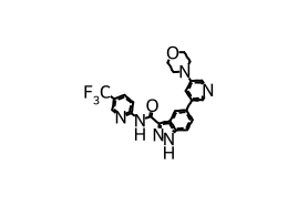 O=C(Nc1ccc(C(F)(F)F)cn1)c1n[nH]c2ccc(-c3cncc(N4CCOCC4)c3)cc12